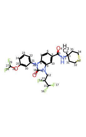 CC1(NC(=O)c2ccc3c(c2)n(CC(F)C(F)F)c(=O)n3-c2cccc(OC(F)F)c2)CCSCC1